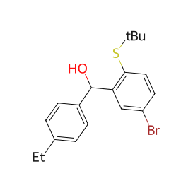 CCc1ccc(C(O)c2cc(Br)ccc2SC(C)(C)C)cc1